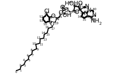 CCCCCCCCCCCCCCCCCCOC[C@H](COP(=O)(O)OC[C@H]1O[C@@](C#N)(c2ccc3c(N)ncnn23)[C@H](O)[C@@H]1O)Oc1ccccc1Cl